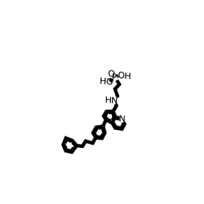 O=P(O)(O)CCCNCc1ccc(-c2ccc(CCCc3ccccc3)cc2)c2cccnc12